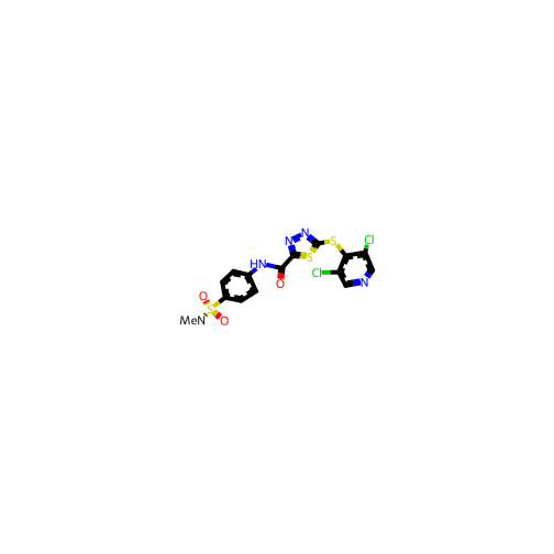 CNS(=O)(=O)c1ccc(NC(=O)c2nnc(Sc3c(Cl)cncc3Cl)s2)cc1